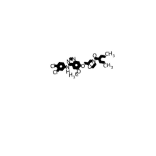 CCCC(CCC)C(=O)N1CCOC(COc2cc3ncnc(Nc4ccc(Cl)c(Cl)c4)c3cc2OC)C1